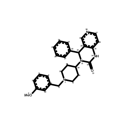 COc1cccc(CN2CCC(N3C(=O)Nc4ccncc4C3c3ccccc3)CC2)c1